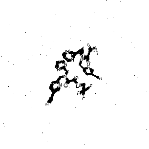 N#Cc1ccc(CN(Cc2ncccn2)C(=O)C(=O)OCC(F)(F)F)nc1.N#Cc1ccc(CN(Cc2ncccn2)C(=O)C(N)=O)nc1